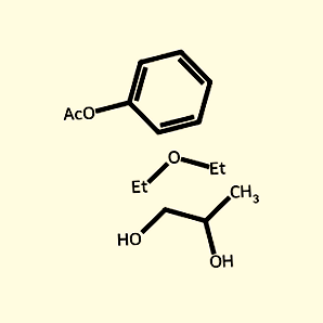 CC(=O)Oc1ccccc1.CC(O)CO.CCOCC